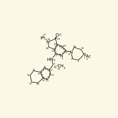 CC(=O)N1CCN(c2nc(N[C@H](C)c3ccc4c(c3)CCCC4)c3c(n2)C(=O)N(C(C)C)C3)CC1